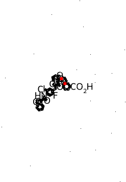 O=C(Nc1cc(F)c(CC(=O)C(O[C@H]2CC[C@H](C(=O)O)CC2)(N2CCCC2)N2CCCS2(=O)=O)cc1Cl)c1coc2ccccc12